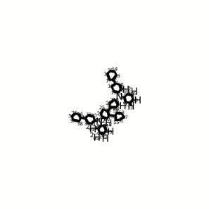 [2H]c1c([2H])c([2H])c(N(c2ccc(-c3ccccc3)cc2)c2ccc(-c3ccc(N(c4ccc(-c5ccccc5)cc4)c4c([2H])c([2H])c([2H])c([2H])c4[2H])cc3-c3ccccc3)cc2)c([2H])c1[2H]